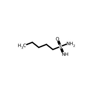 CCCCCS(=N)(N)=O